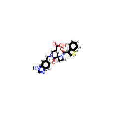 CC1(C(=O)N(CCC(=O)O)Cc2ccc3nc[nH]c3c2)CCN1C(=O)c1csc2ccccc12